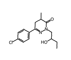 CCC(O)CN1N=C(c2ccc(Cl)cc2)CC(C)C1=O